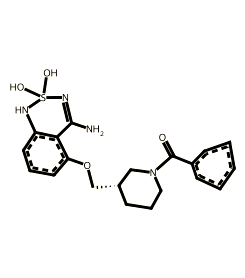 NC1=NS(O)(O)Nc2cccc(OC[C@H]3CCCN(C(=O)c4ccccc4)C3)c21